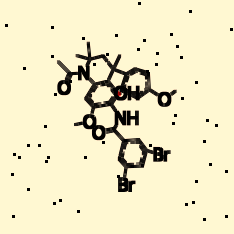 COc1ccc(C2(C)CC(C)(C)N(C(C)=O)c3cc(OC)c(NC(=O)c4cc(Br)cc(Br)c4)c(O)c32)cc1